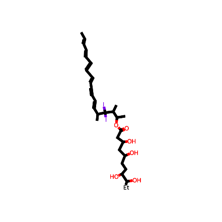 C/C=C/C=C/C=C/C=C/C=C/C=C/C(C)C(I)(I)C(C)C(C)OC(=O)CC(O)CC(O)CCC(O)C(O)CC